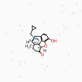 C[C@@]12CCC(=O)[C@@H]3Oc4c(O)ccc5c4[C@@]31CCN(CC1CC1)[C@@H]2C5